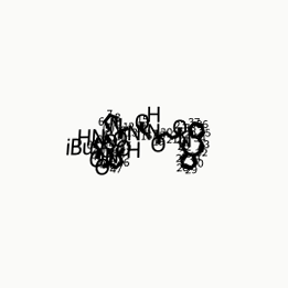 CCC(C)C(NC(=O)[C@@H]1CCCN1C(=O)CNC(=O)CNC(=O)CCC(=O)N1Cc2ccccc2C#Cc2ccccc21)C(=O)ON1C(=O)CCC1=O